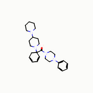 O=C(N1CCN(c2ccccc2)CC1)C1(N2CCC(N3CCCCC3)CC2)C=CC=CC1